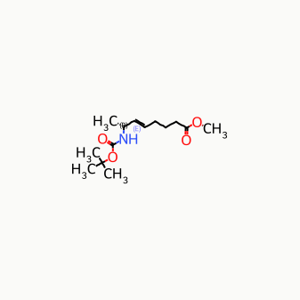 COC(=O)CCC/C=C/[C@@H](C)NC(=O)OC(C)(C)C